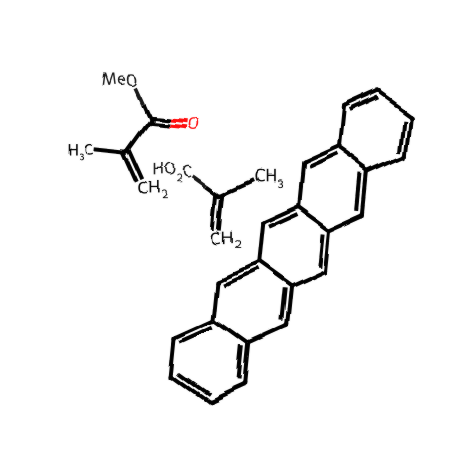 C=C(C)C(=O)O.C=C(C)C(=O)OC.c1ccc2cc3cc4cc5ccccc5cc4cc3cc2c1